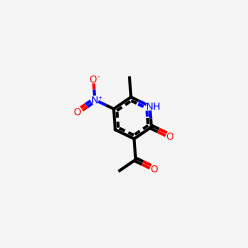 CC(=O)c1cc([N+](=O)[O-])c(C)[nH]c1=O